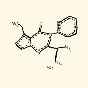 Cc1ccn2nc([C@H](C)N)n(-c3ccccc3)c(=O)c12.Cl